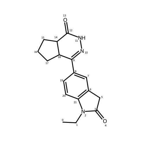 CCN1C(=O)Cc2cc(C3=NNC(=O)C4CCCC34)ccc21